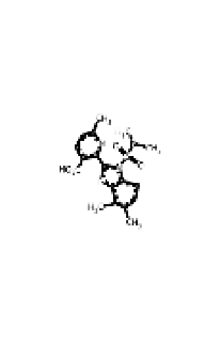 Cc1ccc(C(=O)O)c(-c2nc3c(C)c(C)ccc3n2S(=O)(=O)N(C)C)n1